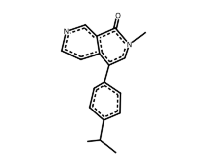 CC(C)c1ccc(-c2cn(C)c(=O)c3cnccc23)cc1